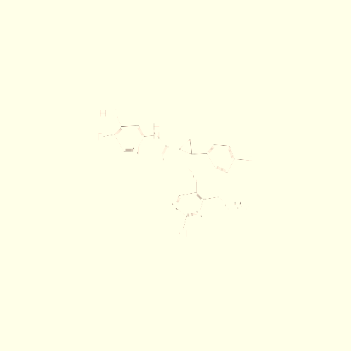 COCc1nc(C)ncc1OC[C@@]1(c2ccc(F)cc2)C[C@H]1C(=O)Nc1cc(C)c(F)cn1